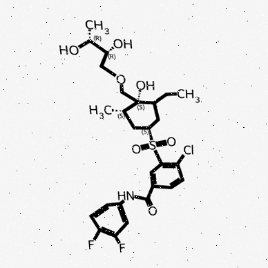 CCC1C[C@@H](S(=O)(=O)c2cc(C(=O)Nc3ccc(F)c(F)c3)ccc2Cl)C[C@H](C)[C@@]1(O)COC[C@@H](O)[C@@H](C)O